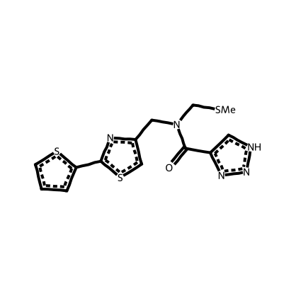 CSCN(Cc1csc(-c2cccs2)n1)C(=O)c1c[nH]nn1